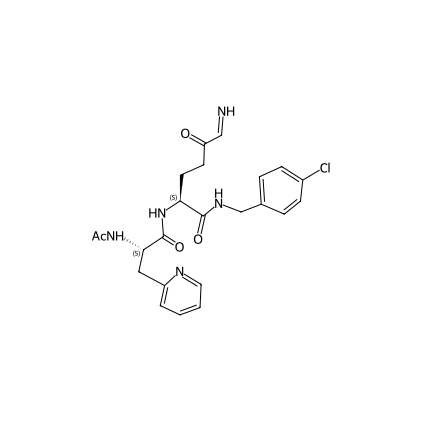 CC(=O)N[C@@H](Cc1ccccn1)C(=O)N[C@@H](CCC(=O)C=N)C(=O)NCc1ccc(Cl)cc1